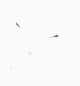 O=C(O)N1C[C@@H](CO)O[C@@H](C(F)(F)F)C1